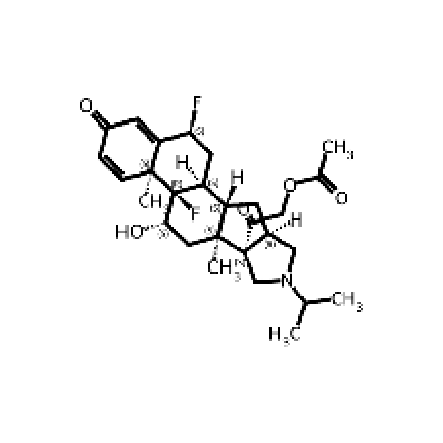 CC(=O)OCC(=O)[C@@]12CN(C(C)C)C[C@@H]1C[C@H]1[C@@H]3C[C@H](F)C4=CC(=O)C=C[C@]4(C)[C@@]3(F)[C@@H](O)C[C@@]12C